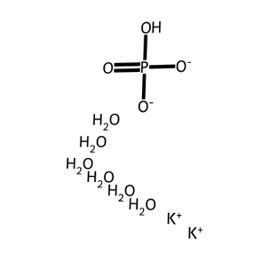 O.O.O.O.O.O.O=P([O-])([O-])O.[K+].[K+]